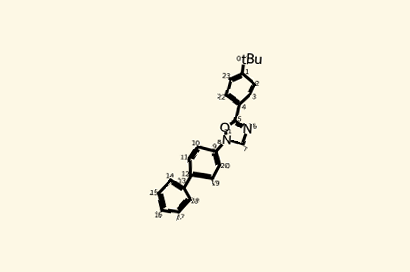 CC(C)(C)c1ccc(C2=NCN(c3ccc(-c4ccccc4)cc3)O2)cc1